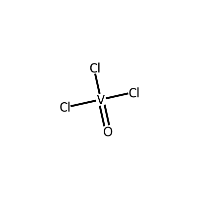 [O]=[V]([Cl])([Cl])[Cl]